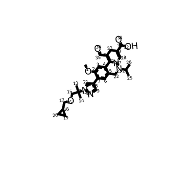 COc1cc2c(cc1-c1cnn(C(C)(C)COCC3CC3)c1)CN(C(C)C)N1C=C(C(=O)O)CC(C=O)=C21